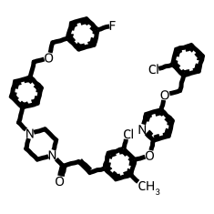 Cc1cc(C=CC(=O)N2CCN(Cc3ccc(COCc4ccc(F)cc4)cc3)CC2)cc(Cl)c1Oc1ccc(OCc2ccccc2Cl)cn1